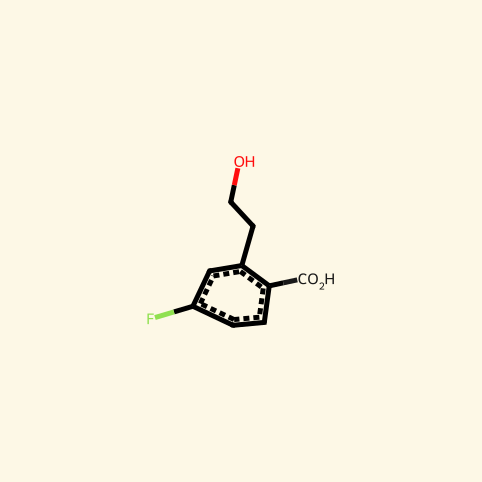 O=C(O)c1ccc(F)cc1CCO